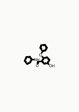 O=C(Nc1ccccc1)c1cc(O)ccc1Oc1ccccc1